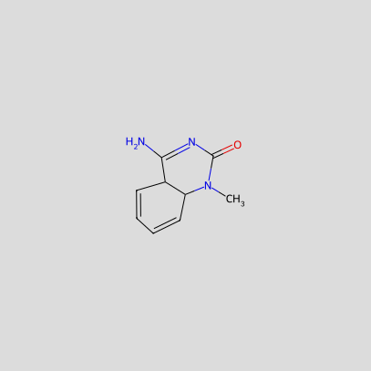 CN1C(=O)N=C(N)C2C=CC=CC21